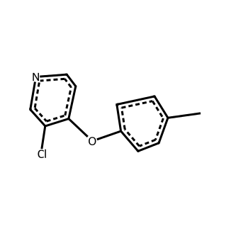 Cc1ccc(Oc2ccncc2Cl)cc1